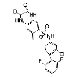 Cc1cc2[nH]c(=O)c(=O)[nH]c2cc1S(=O)(=O)Nc1ccc(-c2c(F)cccc2F)c(Cl)c1